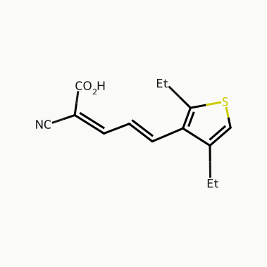 CCc1csc(CC)c1C=CC=C(C#N)C(=O)O